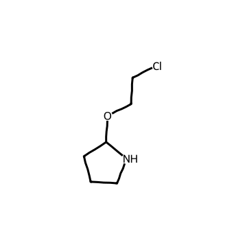 ClCCOC1CCCN1